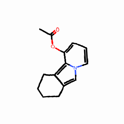 CC(=O)Oc1cccn2cc3c(c12)CCCC3